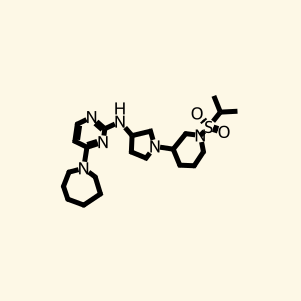 CC(C)S(=O)(=O)N1CCCC(N2CCC(Nc3nccc(N4CCCCCC4)n3)C2)C1